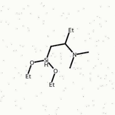 CCO[SiH](CC(CC)N(C)C)OCC